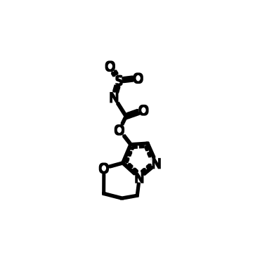 O=C(N=S(=O)=O)Oc1cnn2c1OCCC2